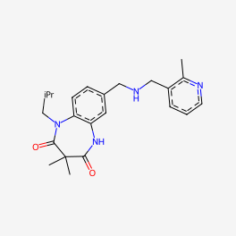 Cc1ncccc1CNCc1ccc2c(c1)NC(=O)C(C)(C)C(=O)N2CC(C)C